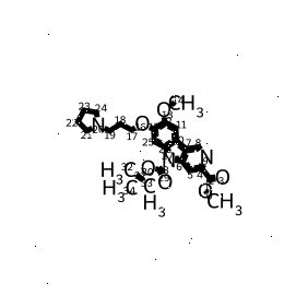 COC(=O)c1cc2c(cn1)c1cc(OC)c(OCCCN3CCCC3)cc1n2C(=O)OC(C)(C)C